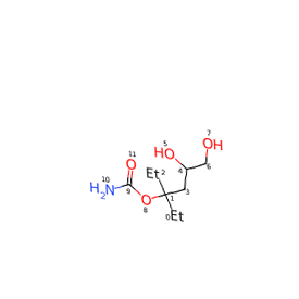 CCC(CC)(CC(O)CO)OC(N)=O